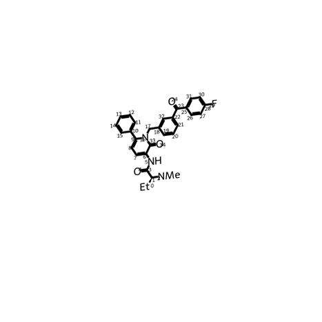 CC[C@H](NC)C(=O)Nc1ccc(-c2ccccc2)n(Cc2cccc(C(=O)c3ccc(F)cc3)c2)c1=O